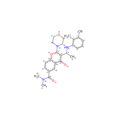 Cc1c(C#N)cccc1NC(C)c1c(N2CCOCC2)oc2ccc(C(=O)N(C)C)cc2c1=O